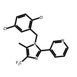 Cc1c(C(F)(F)F)nc(-c2cccnc2)n1Cc1cc(Cl)ccc1Cl